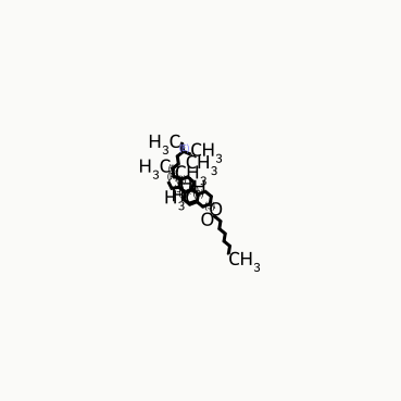 C/C=C(\CC[C@@H](C)[C@H]1CC[C@H]2[C@@H]3CC=C4C[C@@H](OC(=O)CCCCCCC)CC[C@]4(C)[C@H]3CC[C@]12C)C(C)C